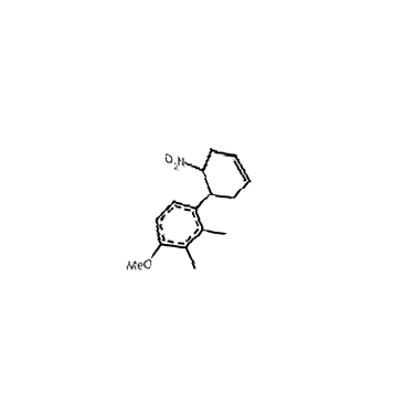 COc1ccc(C2CC=CCC2[N+](=O)[O-])c(C)c1C